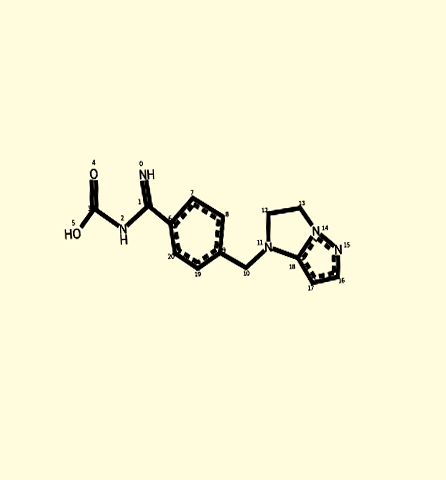 N=C(NC(=O)O)c1ccc(CN2CCn3nccc32)cc1